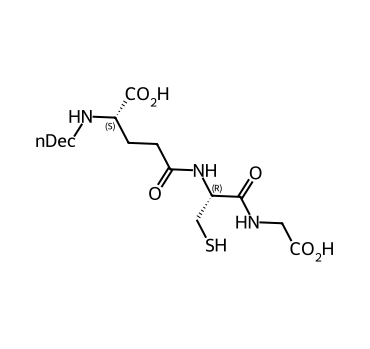 CCCCCCCCCCN[C@@H](CCC(=O)N[C@@H](CS)C(=O)NCC(=O)O)C(=O)O